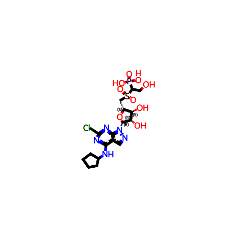 O=P(O)(O)C(CO)S(=O)(=O)C[C@H]1O[C@@H](n2ncc3c(NC4CCCC4)nc(Cl)nc32)[C@H](O)[C@@H]1O